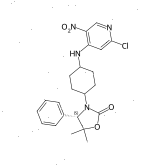 CC1(C)OC(=O)N(C2CCC(Nc3cc(Cl)ncc3[N+](=O)[O-])CC2)[C@H]1c1ccccc1